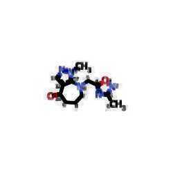 Cc1noc(CN2CCCC(=O)c3cnn(C)c32)n1